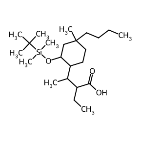 CCCCC1(C)CCC(C(C)C(CC)C(=O)O)C(O[Si](C)(C)C(C)(C)C)C1